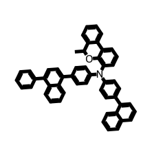 CC1Oc2c(cccc2N(c2ccc(-c3cccc4ccccc34)cc2)c2ccc(-c3ccc(-c4ccccc4)c4ccccc34)cc2)-c2ccccc21